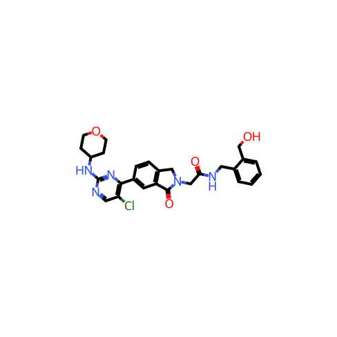 O=C(CN1Cc2ccc(-c3nc(NC4CCOCC4)ncc3Cl)cc2C1=O)NCc1ccccc1CO